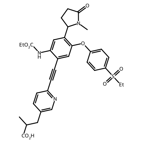 CCOC(=O)Nc1cc(C2CCC(=O)N2C)c(Oc2ccc(S(=O)(=O)CC)cc2)cc1C#Cc1ccc(CC(C)C(=O)O)cn1